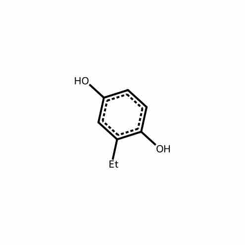 CCc1cc(O)ccc1O